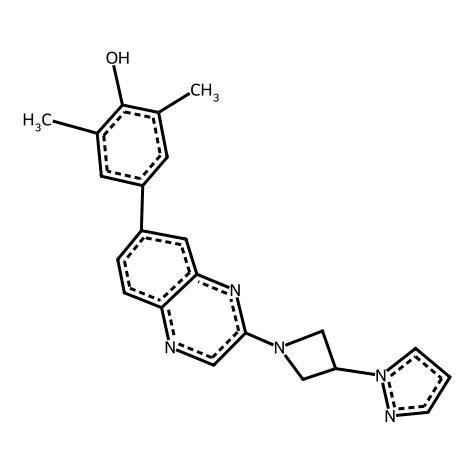 Cc1cc(-c2ccc3ncc(N4CC(n5cccn5)C4)nc3c2)cc(C)c1O